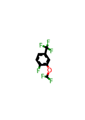 Fc1ccc(C(F)(F)F)cc1OC(F)F